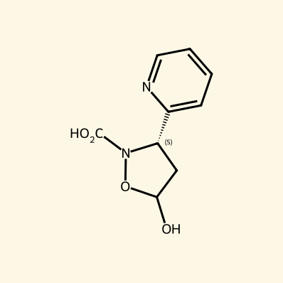 O=C(O)N1OC(O)C[C@H]1c1ccccn1